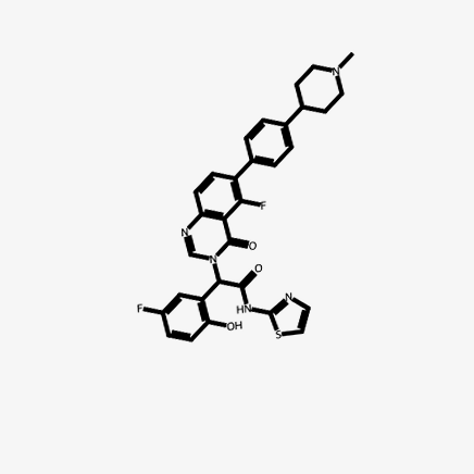 CN1CCC(c2ccc(-c3ccc4ncn(C(C(=O)Nc5nccs5)c5cc(F)ccc5O)c(=O)c4c3F)cc2)CC1